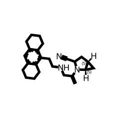 C=C(CNCCc1c2c(cc3c1CCCC3)CCCC2)N1C(C#N)C[C@@H]2C[C@@H]21